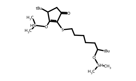 C[SiH](C)OC1=C(SCCCCCC(O[SiH](C)C)C(C)(C)C)C(=O)CC1C(C)(C)C